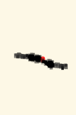 CCCCCCCC1CCC(CCCOC2CCC(c3ccc(CCCCC)cc3)CC2)CC1